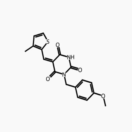 COc1ccc(CN2C(=O)NC(=O)/C(=C\c3sccc3C)C2=O)cc1